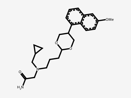 COc1ccc2c(C3COC(CCCN(CC(N)=O)CC4CC4)OC3)cccc2c1